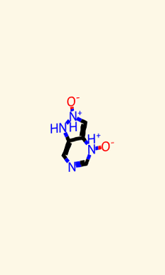 [O-][NH+]1C=C2C(=CN=C[NH+]2[O-])N1